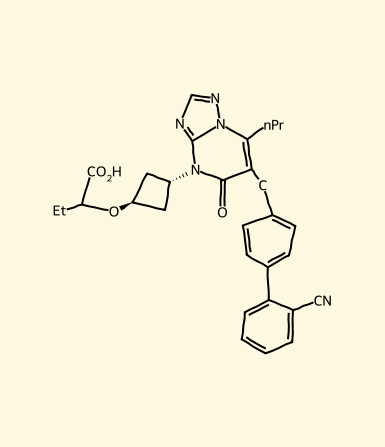 CCCc1c(Cc2ccc(-c3ccccc3C#N)cc2)c(=O)n([C@H]2C[C@H](OC(CC)C(=O)O)C2)c2ncnn12